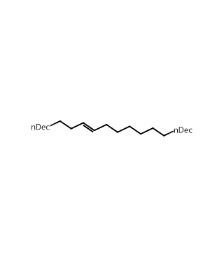 [CH2]CCCCCCCCCCC/C=C/CCCCCCCCCCCCCCC[CH2]